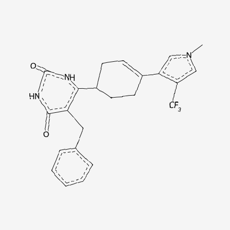 Cn1cc(C2=CCC(c3[nH]c(=O)[nH]c(=O)c3Cc3ccccc3)CC2)c(C(F)(F)F)c1